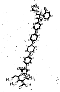 CCC(C(C)C(C(=O)O)N(C)C)n1ncn(-c2ccc(N3CCN(c4ccc(-c5ccc(C(F)(F)C(O)(Cn6cnnn6)c6ccccc6F)nc5)cc4)CC3)cn2)c1=O